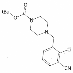 CC(C)(C)OC(=O)N1CCN(Cc2cccc(C#N)c2Cl)CC1